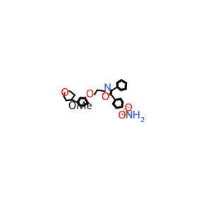 COC1(c2cccc(OCCc3nc(-c4ccccc4)c(-c4ccc(S(N)(=O)=O)cc4)o3)c2)CCOCC1